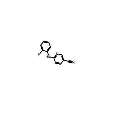 N#Cc1ccc(Nc2ccccc2F)nc1